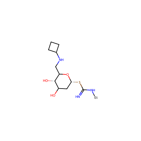 CCNC(=N)S[C@@H]1CC(O)[C@H](O)C(CNC2CCC2)O1